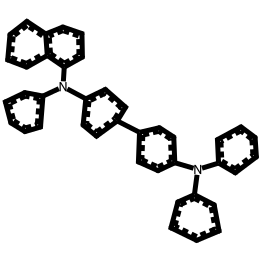 c1ccc(N(c2ccccc2)c2ccc(-c3ccc(N(c4ccccc4)c4cccc5ccccc45)cc3)cc2)cc1